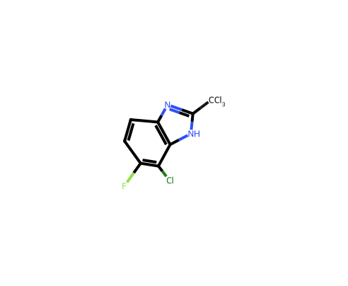 Fc1ccc2nc(C(Cl)(Cl)Cl)[nH]c2c1Cl